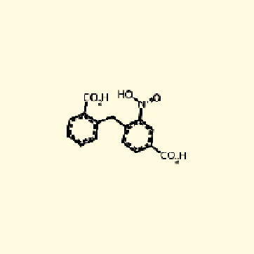 O=C(O)c1ccc(Cc2ccccc2C(=O)O)c([N+](=O)O)c1